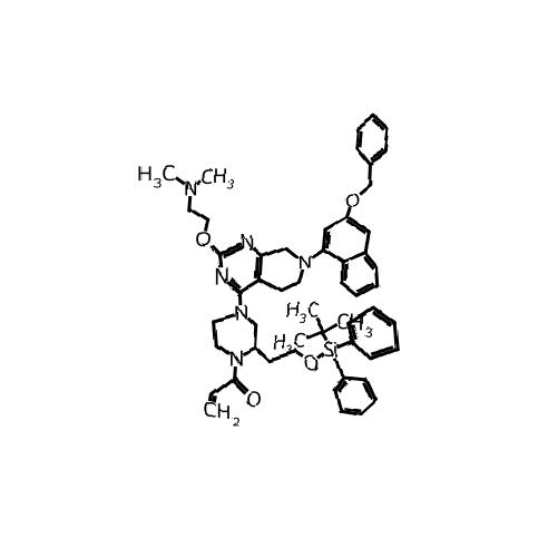 C=CC(=O)N1CCN(c2nc(OCCN(C)C)nc3c2CCN(c2cc(OCc4ccccc4)cc4ccccc24)C3)CC1CCO[Si](c1ccccc1)(c1ccccc1)C(C)(C)C